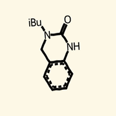 CCC(C)N1Cc2ccccc2NC1=O